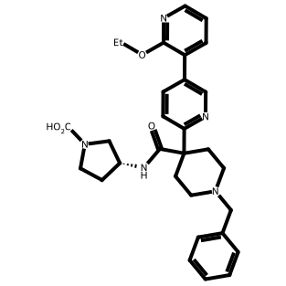 CCOc1ncccc1-c1ccc(C2(C(=O)N[C@@H]3CCN(C(=O)O)C3)CCN(Cc3ccccc3)CC2)nc1